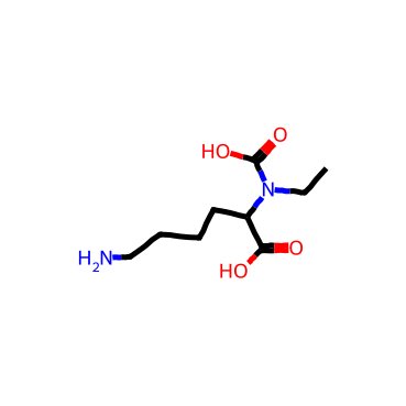 CCN(C(=O)O)C(CCCCN)C(=O)O